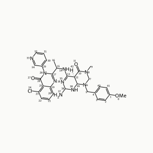 COc1ccc(CN2CN(C)C(=O)[C@@H]3C(NC(C)c4nc5cccc(Cl)c5c(=O)n4-c4cccnc4)=NC(N)NC32)cc1